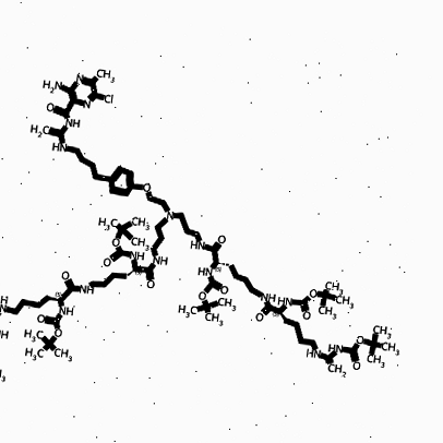 C=C(NCCCC[C@H](NC(=O)OC(C)(C)C)C(=O)NCCCC[C@H](NC(=O)OC(C)(C)C)C(=O)NCCCN(CCCNC(=O)[C@H](CCCCNC(=O)[C@H](CCCCNC(=C)NC(=O)OC(C)(C)C)NC(=O)OC(C)(C)C)NC(=O)OC(C)(C)C)CCOc1ccc(CCCCNC(=C)NC(=O)c2nc(Cl)c(C)nc2N)cc1)NC(=O)OC(C)(C)C